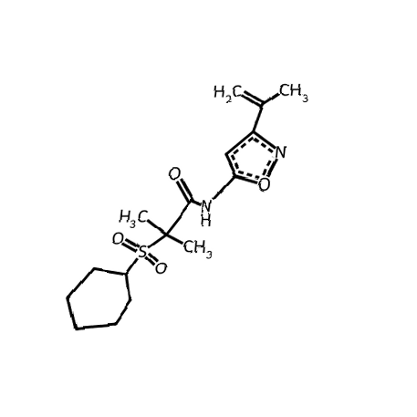 C=C(C)c1cc(NC(=O)C(C)(C)S(=O)(=O)C2CCCCC2)on1